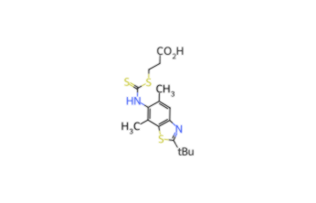 Cc1cc2nc(C(C)(C)C)sc2c(C)c1NC(=S)SCCC(=O)O